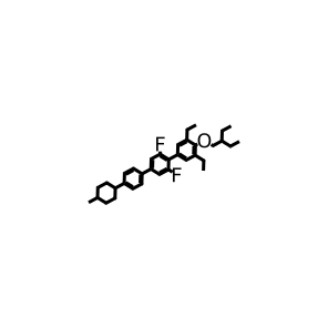 CCc1cc(-c2c(F)cc(-c3ccc(C4CCC(C)CC4)cc3)cc2F)cc(CC)c1OCC(CC)CC